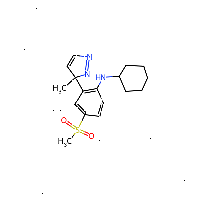 CC1(c2cc(S(C)(=O)=O)ccc2NC2CCCCC2)C=CN=N1